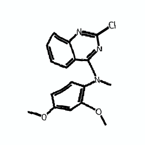 COc1ccc(N(C)c2nc(Cl)nc3ccccc23)c(OC)c1